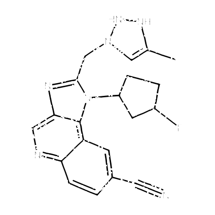 CC1=CN(Cc2nc3cnc4ccc(C#N)cc4c3n2C2CCC(F)C2)NN1